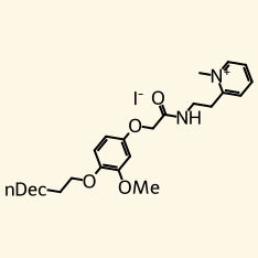 CCCCCCCCCCCCOc1ccc(OCC(=O)NCCc2cccc[n+]2C)cc1OC.[I-]